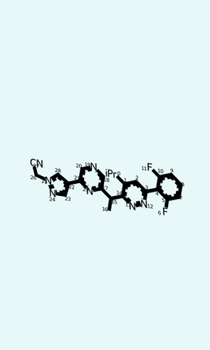 CC(C)c1cc(-c2c(F)cccc2F)nnc1C(C)c1cncc(-c2cnn(CC#N)c2)n1